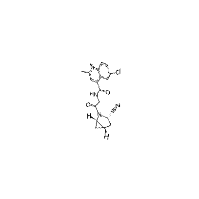 Cc1cc(C(=O)NCC(=O)N2[C@H](C#N)C[C@@H]3C[C@@H]32)c2cc(Cl)ccc2n1